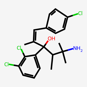 CC(=Cc1ccc(Cl)cc1)C(O)(c1cccc(Cl)c1Cl)C(C)C(C)(C)N